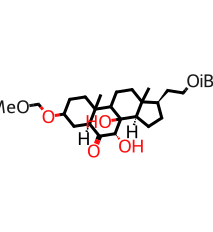 COCOC1CCC2(C)C3CCC4(C)[C@@H](CCOCC(C)C)CC[C@H]4C3(O)[C@H](O)C(=O)[C@H]2C1